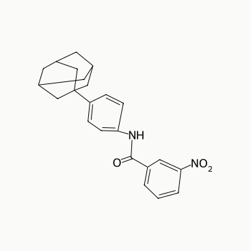 O=C(Nc1ccc(C23CC4CC(CC(C4)C2)C3)cc1)c1cccc([N+](=O)[O-])c1